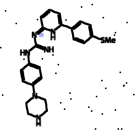 CSc1ccc(-c2ccc/c(=N/C(=N)Nc3ccc(N4CCNCC4)cc3)[nH]2)cc1